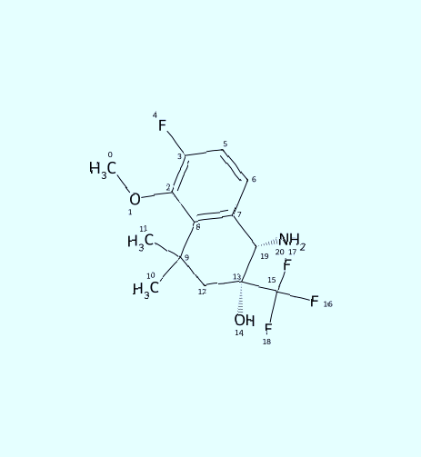 COc1c(F)ccc2c1C(C)(C)C[C@](O)(C(F)(F)F)[C@H]2N